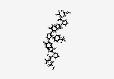 COC(=O)N[C@H](C(=O)N1CCC[C@H]1c1nc2cc(F)c(C3CCC(c4cc5[nH]c([C@@H]6CCCN6C(=O)[C@@H](NC(=O)O)C(C)C)nc5cc4F)=C3c3ccc(C(C)(C)C)cc3)cc2[nH]1)C(C)C